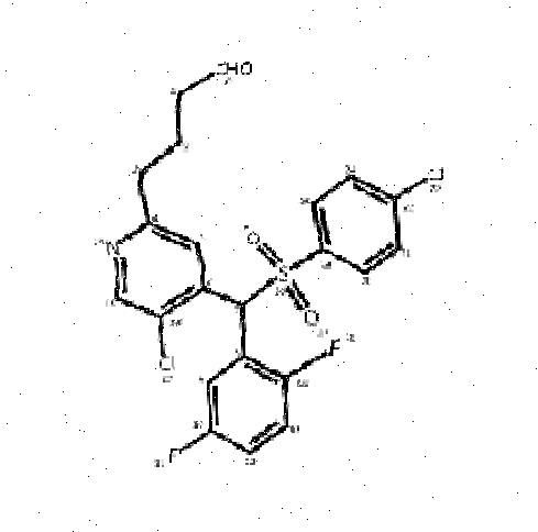 O=CCCCc1cc(C(c2cc(F)ccc2F)S(=O)(=O)c2ccc(Cl)cc2)c(Cl)cn1